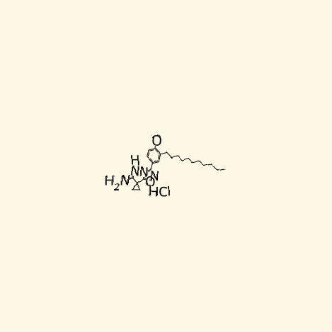 CCCCCCCCCCCc1cc(-c2noc(C3(C(=N)N)CC3)n2)ccc1OC.Cl